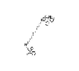 CN(CCCCCCCCCCCCCCCCN1CCC(C(C(N)=O)(c2ccccc2)c2ccccc2)C1)CCCN1C(=O)c2ccccc2C1=O